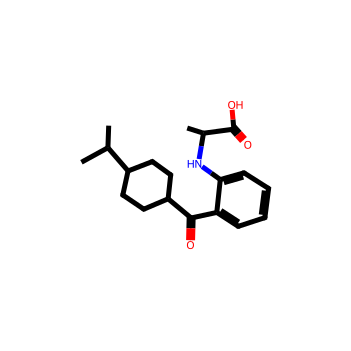 CC(Nc1ccccc1C(=O)C1CCC(C(C)C)CC1)C(=O)O